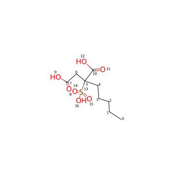 CCCCCC(CC(=O)O)(C(=O)O)S(=O)(=O)O